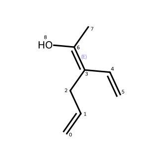 C=CC/C(C=C)=C(/C)O